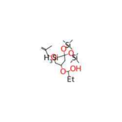 C=C(C)COCC(CC([SiH3])(O[Si](C)(C)C)O[Si](C)(C)C)OC(O)CC